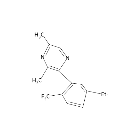 C[CH]c1ccc(C(F)(F)F)c(-c2ncc(C)nc2C)c1